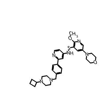 COc1ncc(N2CCOCC2)cc1SNc1ccnc(-c2ccc(CN3CCN(C4CCC4)CC3)cc2)c1